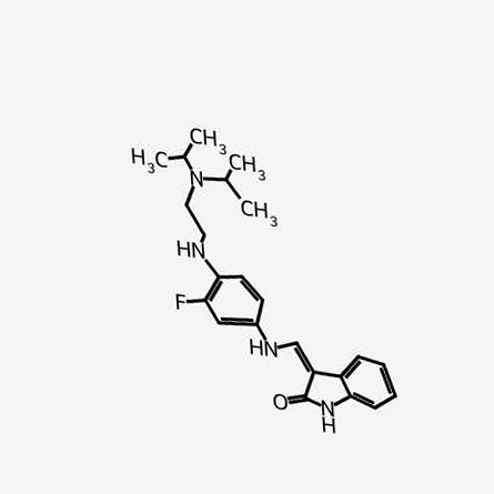 CC(C)N(CCNc1ccc(NC=C2C(=O)Nc3ccccc32)cc1F)C(C)C